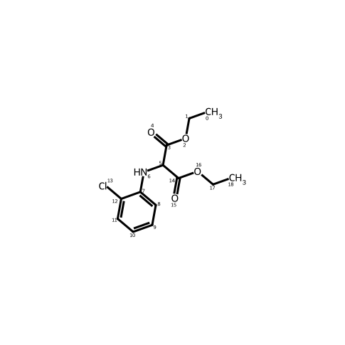 CCOC(=O)C(Nc1ccccc1Cl)C(=O)OCC